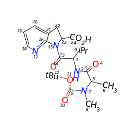 CC(C)C(NC(=O)C(C)N(C)C(=O)OC(C)(C)C)C(=O)N1c2ncccc2CC1C(=O)O